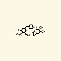 COc1c(F)cc(Cc2ccc(O[C@H]3O[C@H](CO)C[C@H](O)[C@H]3O)cc2)cc1CO